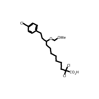 COCOC(CCCCCCCC(Cl)(Cl)C(=O)O)CCc1ccc(Cl)cc1